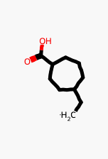 [CH2]CC1CCCC(C(=O)O)CC1